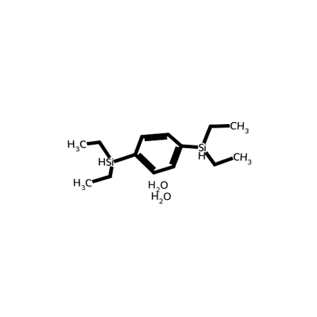 CC[SiH](CC)c1ccc([SiH](CC)CC)cc1.O.O